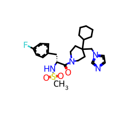 CS(=O)(=O)N[C@H](Cc1ccc(F)cc1)C(=O)N1CCC(Cn2ccnc2)(C2CCCCC2)CC1